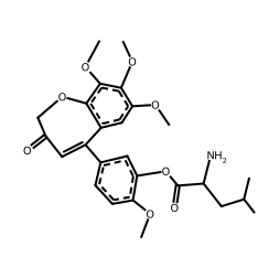 COc1ccc(C2=CC(=O)COc3c2cc(OC)c(OC)c3OC)cc1OC(=O)C(N)CC(C)C